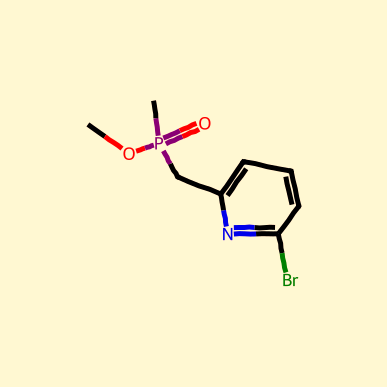 COP(C)(=O)Cc1cccc(Br)n1